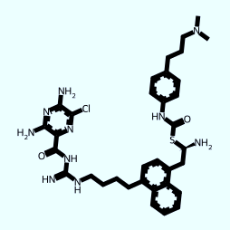 CN(C)CCCc1ccc(NC(=O)S[C@@H](N)Cc2ccc(CCCCNC(=N)NC(=O)c3nc(Cl)c(N)nc3N)c3ccccc23)cc1